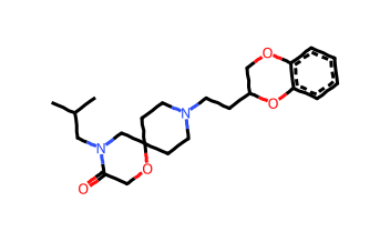 CC(C)CN1CC2(CCN(CCC3COc4ccccc4O3)CC2)OCC1=O